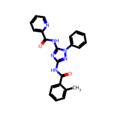 Cc1ccccc1C(=O)Nc1nc(NC(=O)c2ccccn2)n(-c2ccccc2)n1